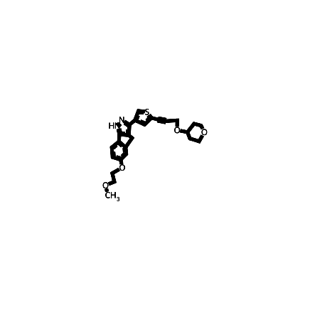 COCCOc1ccc2c(c1)Cc1c(-c3csc(C#CCOC4CCOCC4)c3)n[nH]c1-2